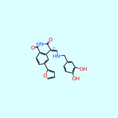 O=C1NC(=O)c2ccc(-c3ccco3)cc2/C1=C\NCc1ccc(O)c(O)c1